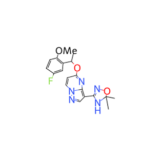 COc1ccc(F)cc1C(C)Oc1ccn2ncc(C3=NOC(C)(C)N3)c2n1